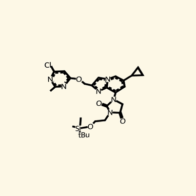 Cc1nc(Cl)cc(OCc2cn3cc(C4CC4)cc(N4CC(=O)N(CCO[Si](C)(C)C(C)(C)C)C4=O)c3n2)n1